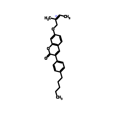 C/C=C(/C)COc1ccc2cc(-c3ccc(CCCCC)cc3)c(=O)oc2c1